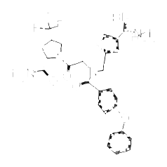 Cl.N=C(N)c1csc(CN(CC(=O)N2C[C@@H](C(F)(F)F)C[C@H]2C(N)=O)C(=O)c2ccc(Oc3ccccc3)cc2)c1